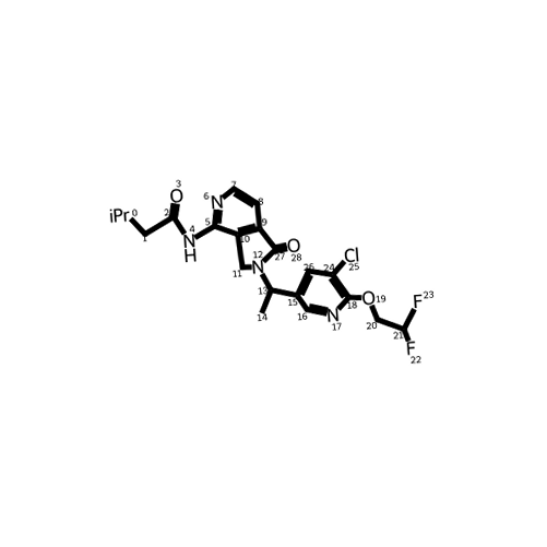 CC(C)CC(=O)Nc1nccc2c1CN(C(C)c1cnc(OCC(F)F)c(Cl)c1)C2=O